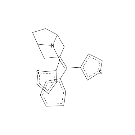 c1ccc(C(=C2CC3CCC(C2)N3Cc2cccs2)c2ccsc2)cc1